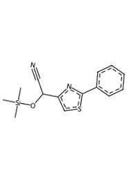 C[Si](C)(C)OC(C#N)c1csc(-c2ccccc2)n1